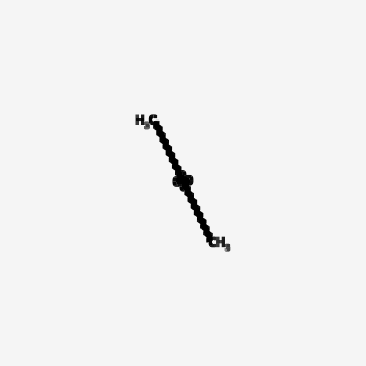 CCCCCCCCCCCCCCCCCOC(=O)C(=O)OCCCCCCCCCCCCCCCCC